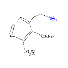 CCOC(=O)c1cccc(CN)c1OC